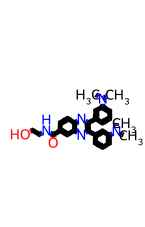 CN(C)c1cccc(-c2nc3ccc(C(=O)NCCO)cc3nc2-c2cccc(N(C)C)c2)c1